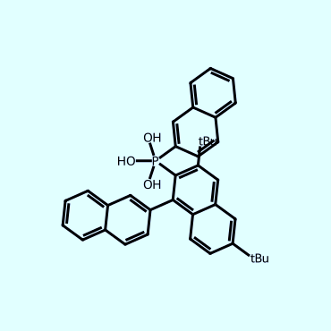 CC(C)(C)c1ccc2c(-c3ccc4ccccc4c3)c(P(O)(O)(O)c3ccc4ccccc4c3)c(C(C)(C)C)cc2c1